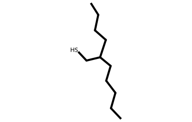 CCCCCC(CS)CCCC